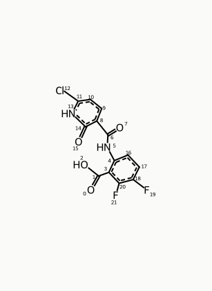 O=C(O)c1c(NC(=O)c2ccc(Cl)[nH]c2=O)ccc(F)c1F